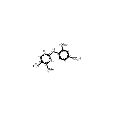 COc1cc(C(=O)O)ccc1Nc1ncc(N)c(OC)n1